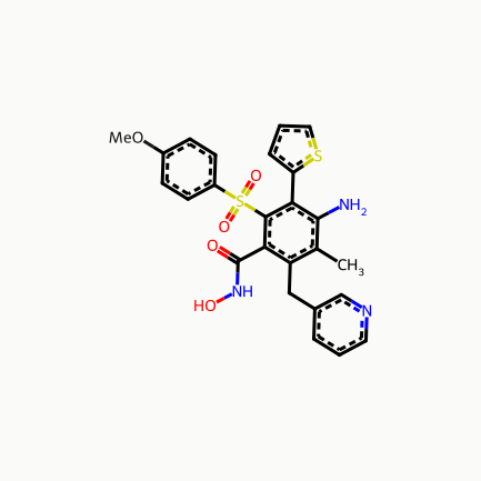 COc1ccc(S(=O)(=O)c2c(C(=O)NO)c(Cc3cccnc3)c(C)c(N)c2-c2cccs2)cc1